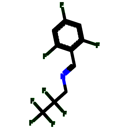 Fc1cc(F)c(C=NCC(F)(F)C(F)(F)F)c(F)c1